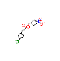 O=C(/C=C/c1ccc(Cl)cc1)OCc1ccc([N+](=O)[O-])cc1